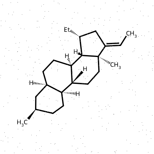 CC=C1C[C@@H](CC)[C@H]2[C@@H]3CC[C@@H]4C[C@H](C)CC[C@@H]4[C@H]3CC[C@]12C